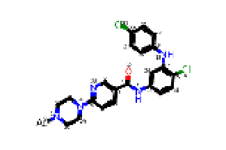 CC(=O)N1CCN(c2ccc(C(=O)Nc3ccc(Cl)c(Nc4ccc(Cl)cc4)c3)cn2)CC1